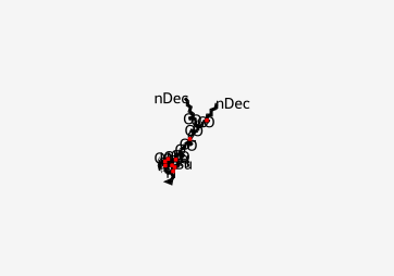 CCCCCCCCCCCCCCCC(=O)OCC(COC(=O)CCCCCCCCCCCCCCC)OC(=O)CCC(=O)OCOC(=O)Oc1ccc2c3c1O[C@H]1[C@]4(OC)CC[C@@]5(C[C@@H]4[C@](C)(O)C(C)(C)C)C(C2)N(CC2CC2)CC[C@]315